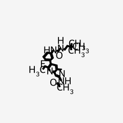 CCc1nc2cc(NC(C)=O)ncc2cc1-c1cc(NC(=O)NCCC(C)(C)C)ccc1F